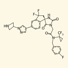 O=C1N[C@]2(CC(F)(F)c3cc(-c4cnn(C5CNC5)c4)ccc32)C(=O)N1CC(=O)N(Cc1ccc(F)cc1)C1(C(F)(F)F)CC1